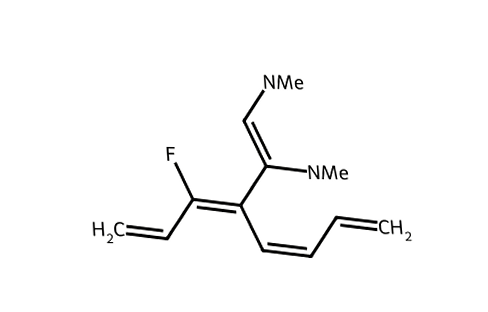 C=C\C=C/C(C(=C/NC)/NC)=C(/F)C=C